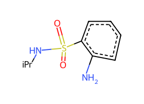 CC(C)NS(=O)(=O)c1ccccc1N